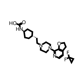 FC1(F)CC1.O=C(O)N[C@H]1CC[C@H](CCN2CCN(c3nccc4c3OCC4)CC2)CC1